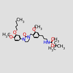 CCCCCOc1cc(N2CCCN(Cc3ccc(CCCNC(=O)OC(C)(C)C)cc3OC)C2=O)ccc1OC